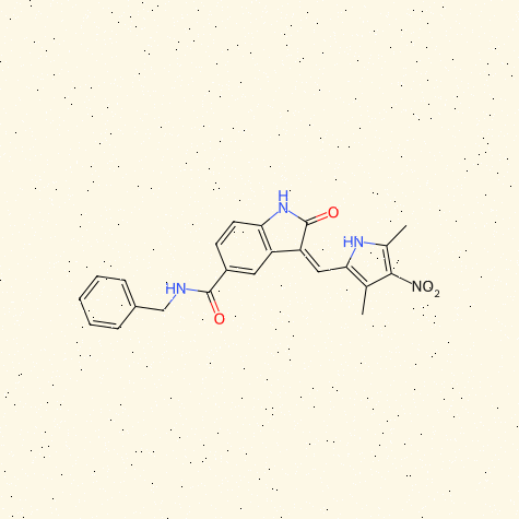 Cc1[nH]c(/C=C2\C(=O)Nc3ccc(C(=O)NCc4ccccc4)cc32)c(C)c1[N+](=O)[O-]